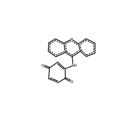 O=C1C=CC(=O)C(Nc2c3ccccc3nc3ccccc23)=C1